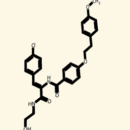 COc1ccc(CCOc2ccc(C(=O)N/C(=C\c3ccc(Cl)cc3)C(=O)NCCO)cc2)cc1